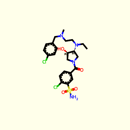 CCN(CCN(C)Cc1ccc(Cl)cc1)[C@@H]1CN(C(=O)c2ccc(Cl)c(S(N)(=O)=O)c2)C[C@H]1O